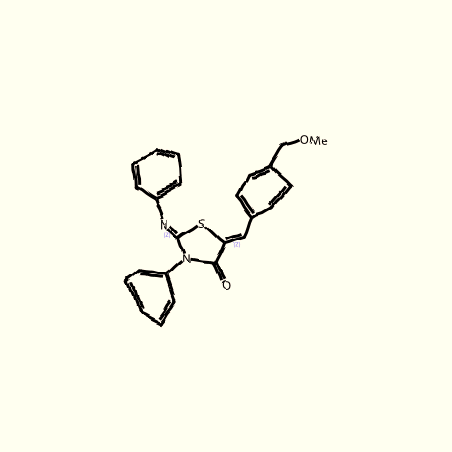 COCc1ccc(/C=C2\S/C(=N\c3ccccc3)N(c3ccccc3)C2=O)cc1